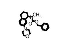 CN(C(=O)OCc1ccccc1)C1CCCc2ccc(N3CCOCC3)cc21